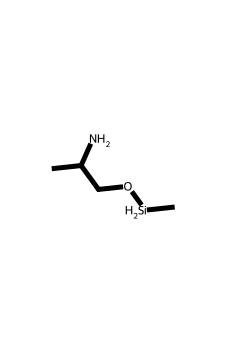 C[SiH2]OCC(C)N